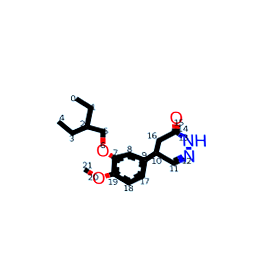 CCC(CC)COc1cc(C2C=NNC(=O)C2)ccc1OC